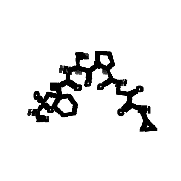 CC(C)(C)NS(=O)(=O)CC1(NC(=O)N[C@H](C(=O)N2CCC[C@H]2C(=O)NCC(=O)C(=O)NC2CC2)C(C)(C)C)CCCCC1